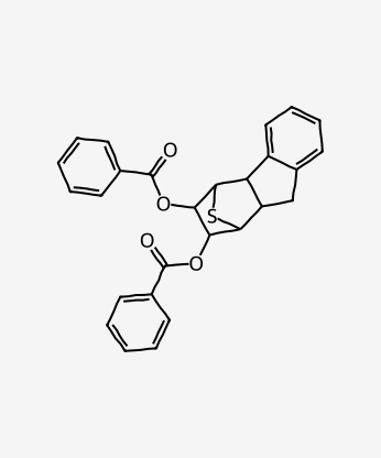 O=C(OC1C(OC(=O)c2ccccc2)C2SC1C1Cc3ccccc3C12)c1ccccc1